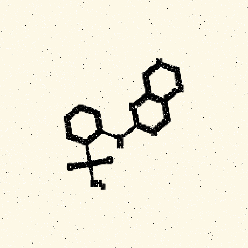 NS(=O)(=O)c1ccccc1Nc1ncc2ncncc2n1